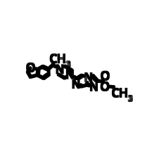 CCOC(=O)c1cn2cc(N3CCN(C(C)c4ccc5c(c4)OCC5)CC3)ncc2n1